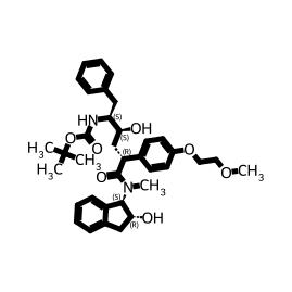 COCCOc1ccc([C@@H](C[C@H](O)[C@H](Cc2ccccc2)NC(=O)OC(C)(C)C)C(=O)N(C)[C@H]2c3ccccc3C[C@H]2O)cc1